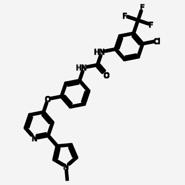 Cn1ccc(-c2cc(Oc3cccc(NC(=O)Nc4ccc(Cl)c(C(F)(F)F)c4)c3)ccn2)c1